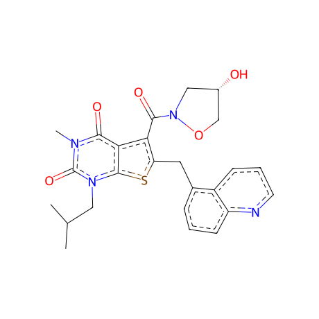 CC(C)Cn1c(=O)n(C)c(=O)c2c(C(=O)N3C[C@H](O)CO3)c(Cc3cccc4ncccc34)sc21